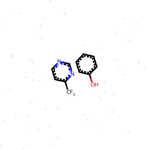 FC(F)(F)c1ccncn1.Oc1ccccc1